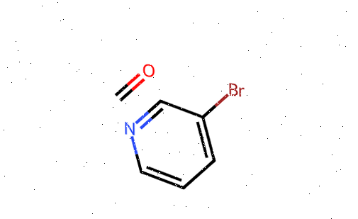 Brc1cccnc1.C=O